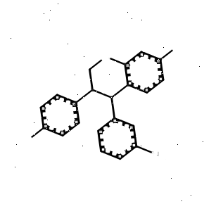 Nc1cccc(C2c3ccc(O)cc3OCC2c2ccc(O)cc2)c1